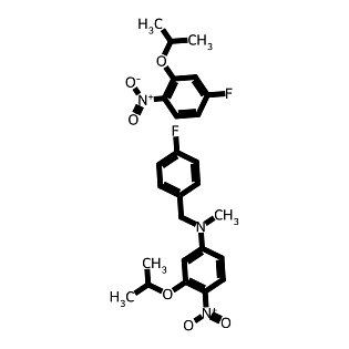 CC(C)Oc1cc(F)ccc1[N+](=O)[O-].CC(C)Oc1cc(N(C)Cc2ccc(F)cc2)ccc1[N+](=O)[O-]